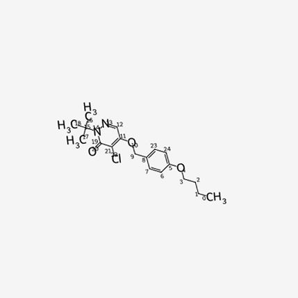 CCCCOc1ccc(COc2cnn(C(C)(C)C)c(=O)c2Cl)cc1